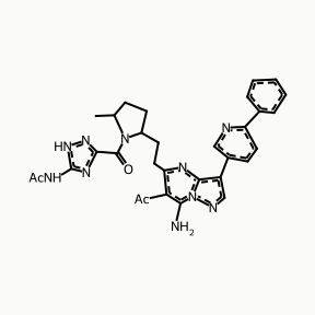 CC(=O)Nc1nc(C(=O)N2C(C)CCC2CCc2nc3c(-c4ccc(-c5ccccc5)nc4)cnn3c(N)c2C(C)=O)n[nH]1